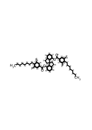 CCCCCCCCc1c(F)cc(C(=O)Oc2cccc3c2C2(CC3)CCc3cccc(OC(=O)c4cc(F)c(CCCCCCCC)c(F)c4)c32)cc1F